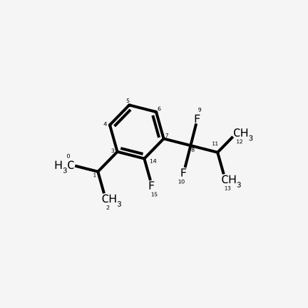 CC(C)c1cccc(C(F)(F)C(C)C)c1F